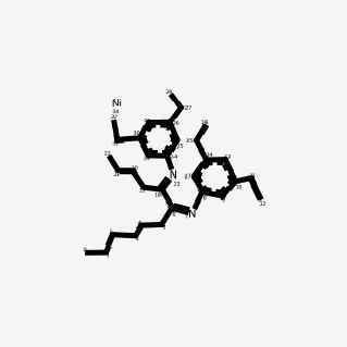 CCCCCCC(=Nc1cc(CC)cc(CC)c1)C(CCCC)=Nc1cc(CC)cc(CC)c1.[Ni]